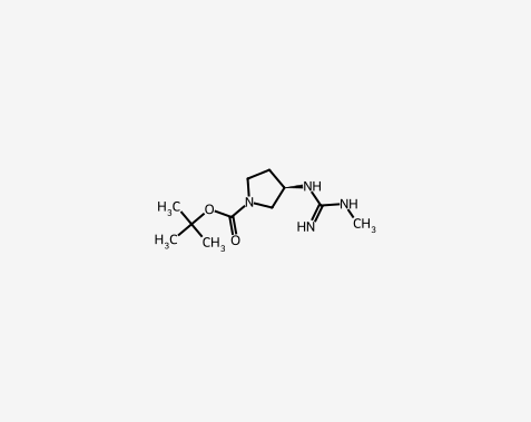 CNC(=N)N[C@@H]1CCN(C(=O)OC(C)(C)C)C1